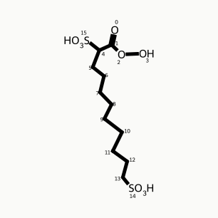 O=C(OO)C(CCCCCCCCCS(=O)(=O)O)S(=O)(=O)O